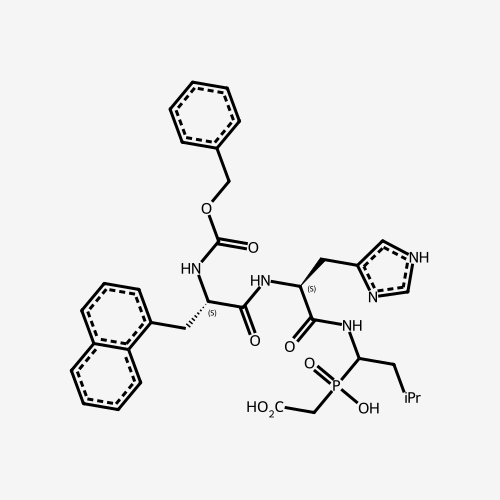 CC(C)CC(NC(=O)[C@H](Cc1c[nH]cn1)NC(=O)[C@H](Cc1cccc2ccccc12)NC(=O)OCc1ccccc1)P(=O)(O)CC(=O)O